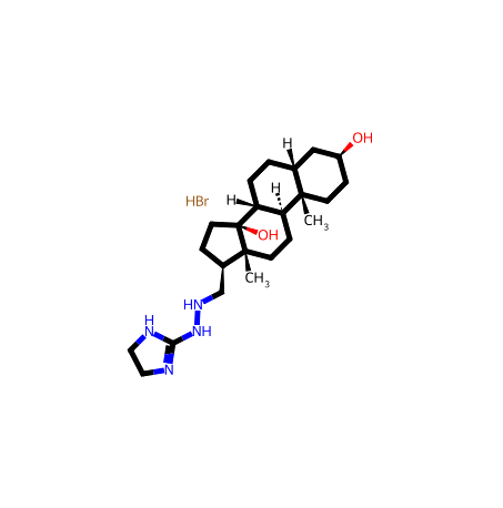 Br.C[C@]12CC[C@H](O)C[C@H]1CC[C@@H]1[C@@H]2CC[C@]2(C)[C@@H](CNNC3=NCCN3)CC[C@]12O